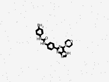 Bc1ccc(NC(=O)Nc2ccc(-c3nc(N4CCOCC4)c4[nH]cnc4n3)cc2)cc1